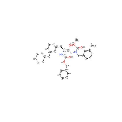 COc1cccc(CN(C[C@@H](O)[C@H](Cc2cccc(CC3CCCCC3)c2)NC(=O)OCc2ccccc2)C(=O)OC(C)(C)C)c1